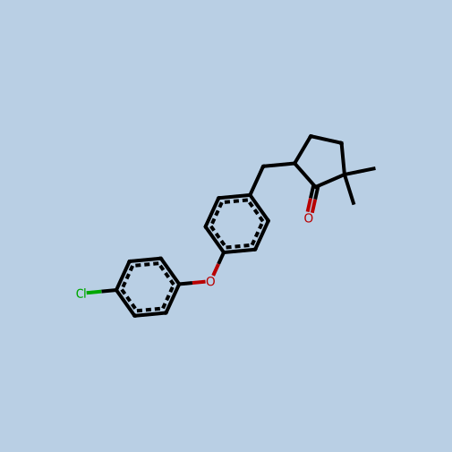 CC1(C)CCC(Cc2ccc(Oc3ccc(Cl)cc3)cc2)C1=O